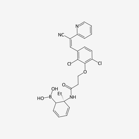 CC[C@]1(NC(=O)CCOc2c(Cl)ccc(C=C(C#N)c3ccccn3)c2Cl)C=CC=CC1B(O)O